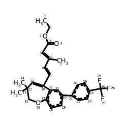 CCOC(=O)/C=C(C)/C=C/C1=CC(C)(C)COc2ccc(-c3ccc(C(F)(F)F)cc3)cc21